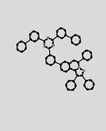 c1ccc(-c2cccc(-c3nc(-c4cccc(-c5ccccc5)c4)nc(-c4cccc(-c5ccc6c(c5)cc(-c5ccccc5)n5nc(-c7ccccc7)c(-c7ccccc7)c65)c4)n3)c2)cc1